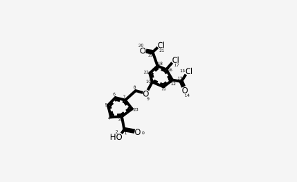 O=C(O)c1cccc(COc2cc(C(=O)Cl)c(Cl)c(C(=O)Cl)c2)c1